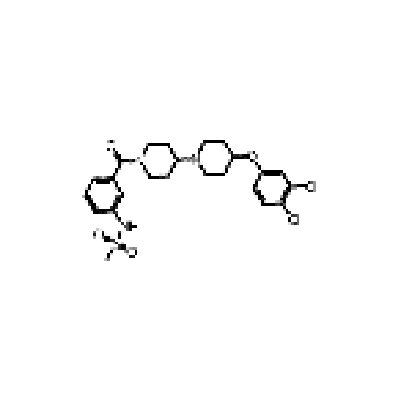 CS(=O)(=O)Nc1cccc(C(=O)N2CCC(N3CCC(Oc4ccc(Cl)c(Cl)c4)CC3)CC2)c1